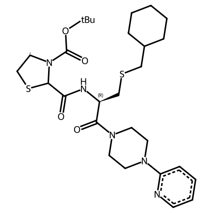 CC(C)(C)OC(=O)N1[CH]CSC1C(=O)N[C@@H](CSCC1CCCCC1)C(=O)N1CCN(c2ccccn2)CC1